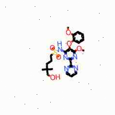 COc1ccccc1Oc1c(NS(=O)(=O)CCCC(C)(C)CO)nc(-c2ncccn2)nc1OC